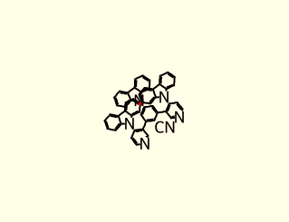 N#Cc1c(-c2cnccc2-n2c3ccccc3c3ccccc32)cc(-n2c3ccccc3c3ccccc32)cc1-c1cnccc1-n1c2ccccc2c2ccccc21